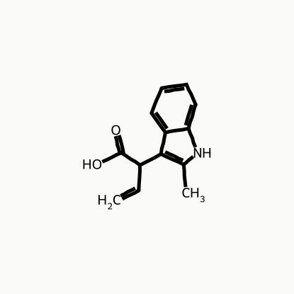 C=CC(C(=O)O)c1c(C)[nH]c2ccccc12